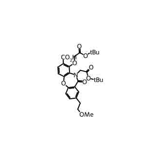 COCCc1ccc2c(c1)C(=O)N(CC(=O)OC(C)(C)C)c1c(ccc(C(=O)O)c1OCC(=O)OC(C)(C)C)O2